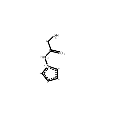 O=C(CS)Nn1cccc1